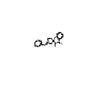 CN(C(=O)c1ccccc1)C1(C#N)CCN(Cc2ccccc2)C1